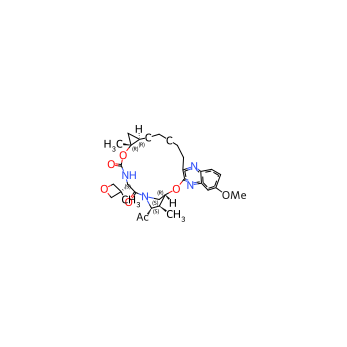 COc1ccc2nc3c(nc2c1)O[C@H]1CN(C(=O)[C@H](C2(C)COC2)NC(=O)O[C@]2(C)C[C@H]2CCCCC3)[C@H](C(C)=O)[C@@H]1C